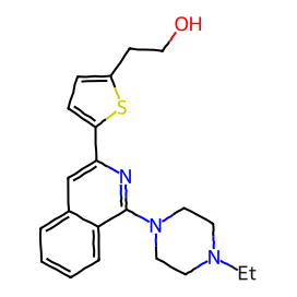 CCN1CCN(c2nc(-c3ccc(CCO)s3)cc3ccccc23)CC1